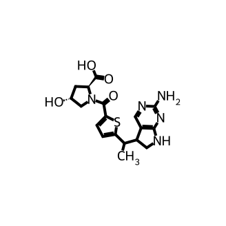 CC(c1ccc(C(=O)N2C[C@H](O)C[C@H]2C(=O)O)s1)C1CNc2nc(N)ncc21